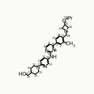 Cc1cc(-c2ccnc(Nc3ccc(N4CCC(CO)CC4)nc3)n2)ccc1CN1CC(OC(C)C)C1